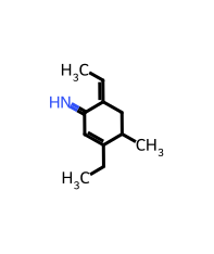 C/C=C1/CC(C)C(CC)=CC1=N